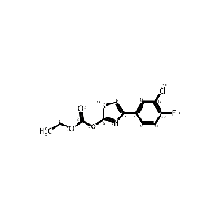 CCOC(=O)Oc1nc(-c2ccc(F)c(Cl)c2)cs1